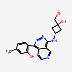 OC[C@]1(O)C[C@@H](Nc2nnc(-c3ccc(C(F)(F)F)cc3O)c3ccncc23)C1